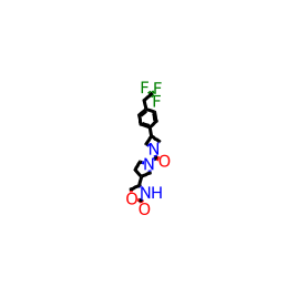 O=C1NC(C2CCN(C(=O)N3CC(c4ccc(CC(F)(F)F)cc4)C3)C2)CO1